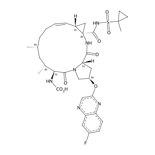 C[C@@H]1CCC=C[C@@H]2C[C@@]2(C(=O)NS(=O)(=O)C2(C)CC2)NC(=O)[C@@H]2C[C@@H](Oc3cnc4cc(F)ccc4n3)CN2C(=O)[C@@H](NC(=O)O)[C@H](C)C1